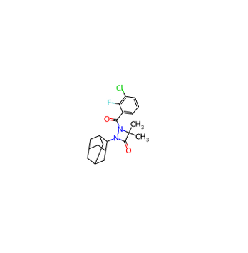 CC1(C)C(=O)N(C2C3CC4CC(C3)CC2C4)N1C(=O)c1cccc(Cl)c1F